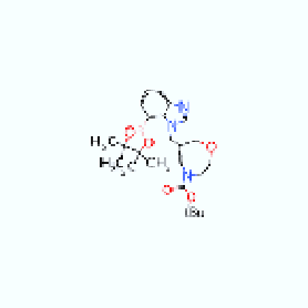 CC(C)(C)OC(=O)N1CCOCC(Cn2cnc3cccc(B4OC(C)(C)C(C)(C)O4)c32)C1